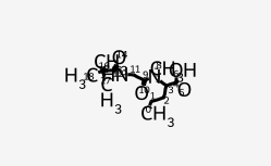 CCCC(C(=O)O)N(C)C(=O)CNC(=O)C(C)(C)C